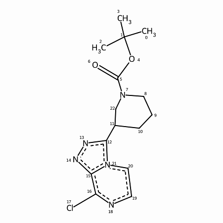 CC(C)(C)OC(=O)N1CCCC(c2nnc3c(Cl)nccn23)C1